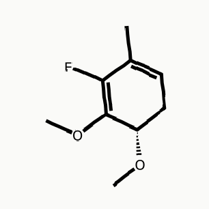 COC1=C(F)C(C)=CC[C@@H]1OC